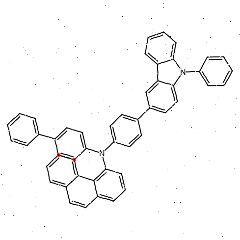 c1ccc(-c2ccc(N(c3ccc(-c4ccc5c(c4)c4ccccc4n5-c4ccccc4)cc3)c3cccc4ccc5ccccc5c34)cc2)cc1